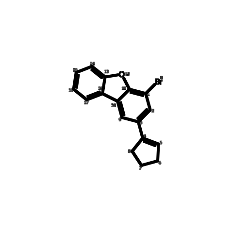 Brc1cc(C2=CCCC2)cc2c1oc1ccccc12